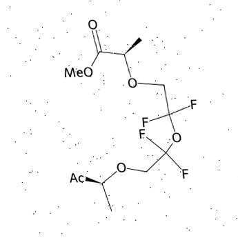 COC(=O)[C@@H](C)OCC(F)(F)OC(F)(F)CO[C@@H](C)C(C)=O